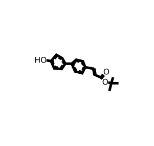 CC(C)(C)OC(=O)/C=C/c1ccc(-c2ccc(O)cc2)cc1